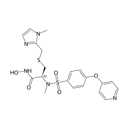 CN([C@H](CSCc1nccn1C)C(=O)NO)S(=O)(=O)c1ccc(Oc2ccncc2)cc1